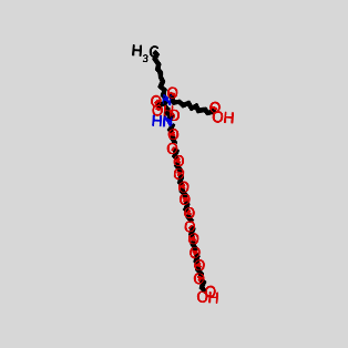 CCCCCCCCCCCN(C(=O)CCCCCCCCCC(=O)O)[C@H](CCC(=O)NCCOCCOCCOCCOCCOCCOCCOCCOCCOCCOCCOCCOCCC(=O)O)C(=O)O